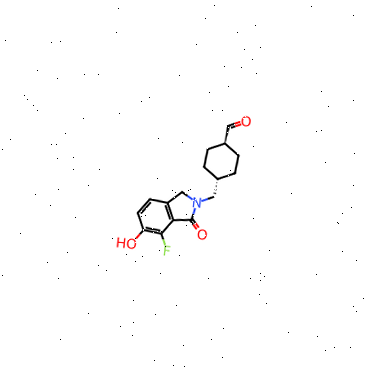 O=C[C@H]1CC[C@H](CN2Cc3ccc(O)c(F)c3C2=O)CC1